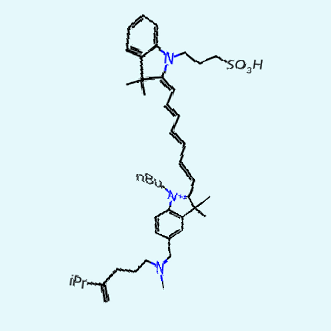 C=C(CCCN(C)Cc1ccc2c(c1)C(C)(C)C(/C=C/C=C/C=C/C=C1/N(CCCS(=O)(=O)O)c3ccccc3C1(C)C)=[N+]2CCCC)C(C)C